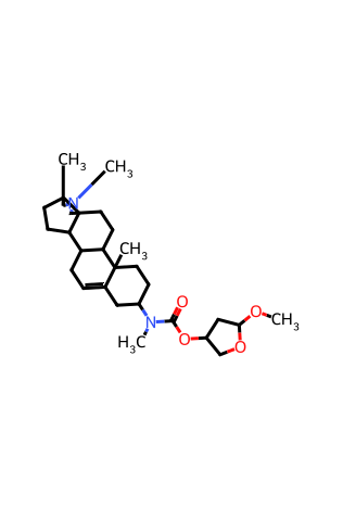 COC1CC(OC(=O)N(C)C2CCC3(C)C(=CCC4C3CCC35CN(C)C(C)C3CCC45)C2)CO1